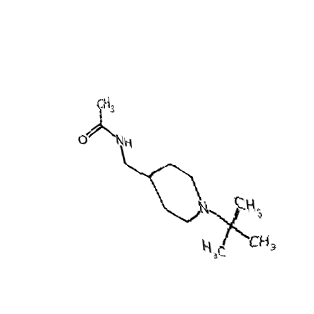 CC(=O)NCC1CCN(C(C)(C)C)CC1